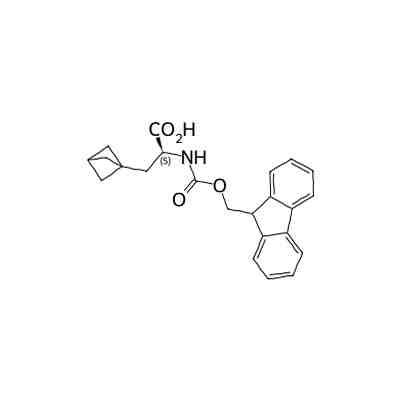 O=C(N[C@@H](CC12CC(C1)C2)C(=O)O)OCC1c2ccccc2-c2ccccc21